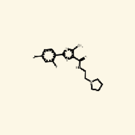 Cc1nc(-c2ccc(Cl)cc2F)sc1C(=O)NCCN1CCCC1